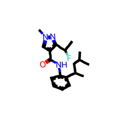 CC(C)CC(C)c1ccccc1NC(=O)c1cn(C)nc1C(C)F